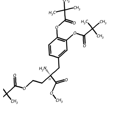 COC(=O)[C@@](N)(CCOC(=O)C(C)(C)C)Cc1ccc(OC(=O)C(C)(C)C)c(OC(=O)C(C)(C)C)c1